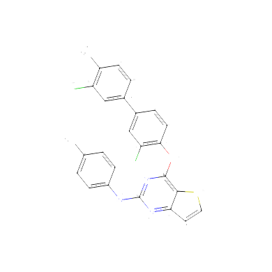 N#Cc1ccc(Nc2nc(Oc3ccc(-c4ccc(C#N)c(Cl)c4)cc3Cl)c3sccc3n2)cc1